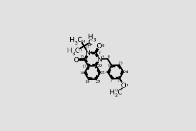 COc1ccc(Cn2c(=O)n(C(C)(C)C)c(=O)c3ccccc32)cc1